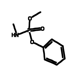 CNP(=O)(OC)Oc1ccccc1